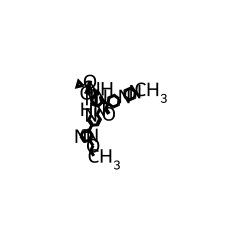 CCOc1cncc(-c2ccc(NC(=O)C3(c4ccnc(NS(=O)(=O)C5CC5)n4)CCC(N4CCN(C)CC4)CC3)nc2)n1